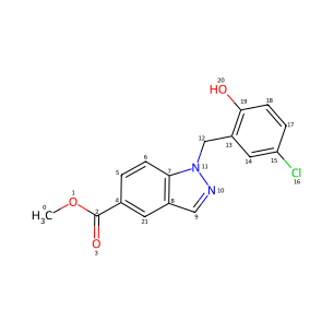 COC(=O)c1ccc2c(cnn2Cc2cc(Cl)ccc2O)c1